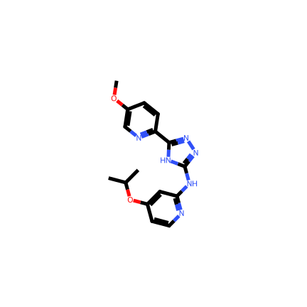 COc1ccc(-c2nnc(Nc3cc(OC(C)C)ccn3)[nH]2)nc1